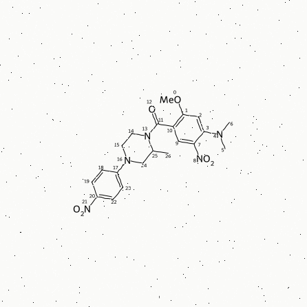 COc1cc(N(C)C)c([N+](=O)[O-])cc1C(=O)N1CCN(c2ccc([N+](=O)[O-])cc2)CC1C